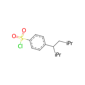 CC(C)CC(c1ccc(S(=O)(=O)Cl)cc1)C(C)C